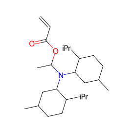 C=CC(=O)OC(C)N(C1CC(C)CCC1C(C)C)C1CC(C)CCC1C(C)C